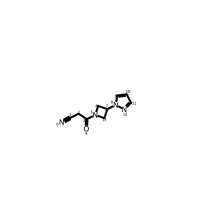 N#CCC(=O)N1CC(n2c[c]cn2)C1